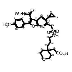 CNC(=O)c1c(-c2ccc(C)cc2)oc2nc(CS(=O)(=O)NCCCC3(CC(=O)O)CCOCC3)c(C3CC3)cc12